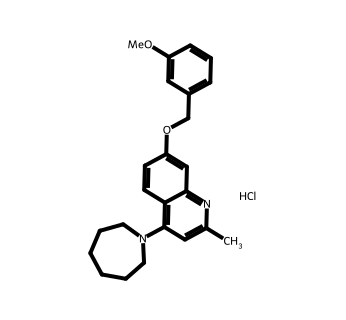 COc1cccc(COc2ccc3c(N4CCCCCC4)cc(C)nc3c2)c1.Cl